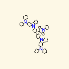 c1ccc(N(c2ccccc2)c2ccc3c(c2)c2ccccc2n3-c2ccc3c(c2)C2(c4cc(-n5c6ccccc6c6cc(N(c7ccccc7)c7ccccc7)ccc65)ccc4-3)c3ccccc3N(c3ccccc3)c3ccccc32)cc1